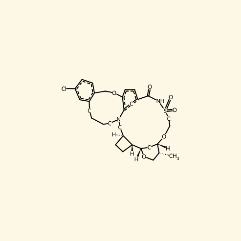 C[C@@H]1CO[C@H]2C[C@@H]1OCCS(=O)(=O)NC(=O)c1ccc3c(c1)N(CCCCc1cc(Cl)ccc1CO3)C[C@@H]1CC[C@H]12